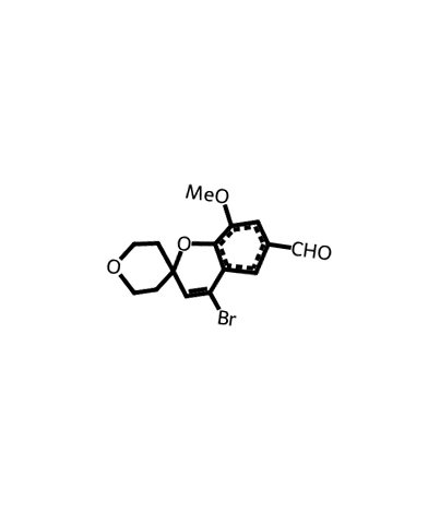 COc1cc(C=O)cc2c1OC1(C=C2Br)CCOCC1